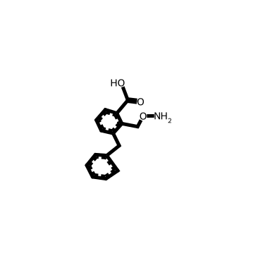 NOCc1c(Cc2ccccc2)cccc1C(=O)O